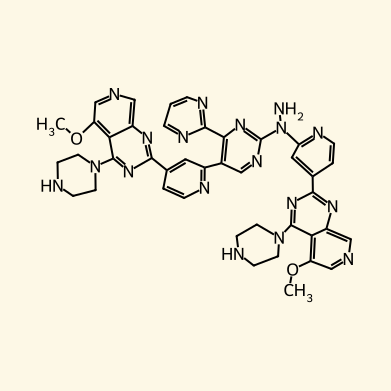 COc1cncc2nc(-c3ccnc(-c4cnc(N(N)c5cc(-c6nc(N7CCNCC7)c7c(OC)cncc7n6)ccn5)nc4-c4ncccn4)c3)nc(N3CCNCC3)c12